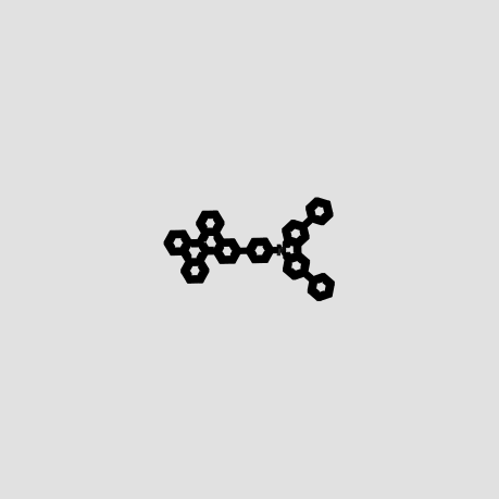 c1ccc(-c2ccc3c(c2)c2cc(-c4ccccc4)ccc2n3-c2ccc(-c3ccc4c(c3)c3ccccc3c3c5ccccc5c5ccccc5c43)cc2)cc1